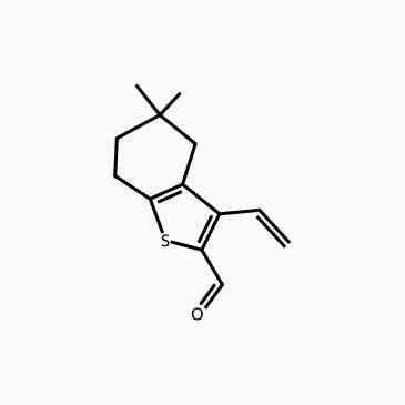 C=Cc1c(C=O)sc2c1CC(C)(C)CC2